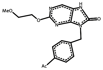 COCCOc1ncc2[nH]c(=O)n(Cc3ccc(C(C)=O)cc3)c2n1